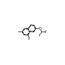 Cc1cc(F)c2cc(OC(F)F)ccc2c1